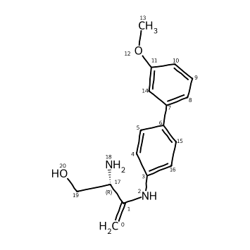 C=C(Nc1ccc(-c2cccc(OC)c2)cc1)[C@@H](N)CO